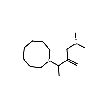 C=C(C[SiH](C)C)C(C)N1CCCCCCC1